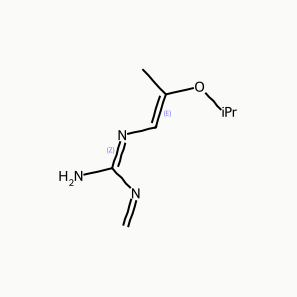 C=N/C(N)=N\C=C(/C)OC(C)C